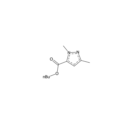 CCCCOC(=O)c1cc(C)nn1C